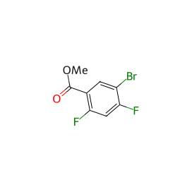 COC(=O)c1cc(Br)c(F)cc1F